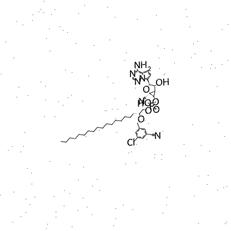 CCCCCCCCCCCCCCCCC[C@H](COP(=O)(O)OC1C2[C@@H](O)[C@H](c3ccc4c(N)ncnn34)O[C@]12C#N)OCc1cc(Cl)cc(C#N)c1